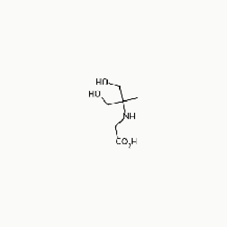 CC(CO)(CO)NCC(=O)O